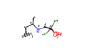 BCC(C)NCC(O)(F)F